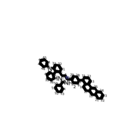 NC(NC(/C=C/c1ccc(-c2cccc3c2ccc2cc4ccccc4cc23)cc1)c1cccc2c1c1ccccc1n2-c1ccccc1)c1ccccc1